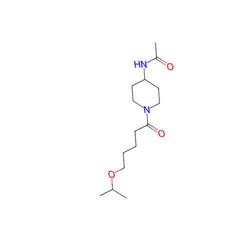 CC(=O)NC1CCN(C(=O)CCCCOC(C)C)CC1